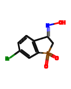 O=S1(=O)CC(=NO)c2ccc(Br)cc21